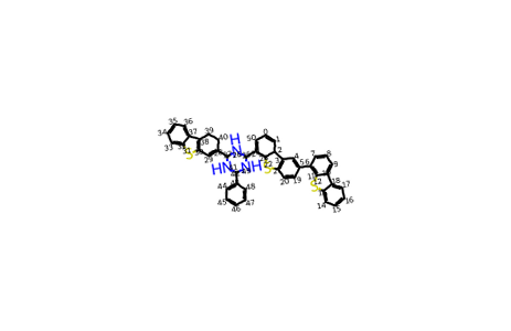 C1=CC2c3cc(-c4cccc5c4sc4ccccc45)ccc3SC2C(C2NC(C3=Cc4sc5ccccc5c4CC3)NC(c3ccccc3)N2)=C1